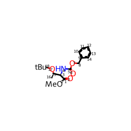 COC(=O)[C@H](NC(=O)OCc1ccccc1)[C@@H](C)OC(C)(C)C